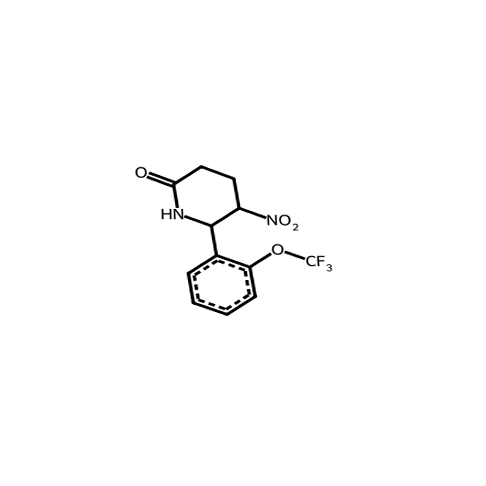 O=C1CCC([N+](=O)[O-])C(c2ccccc2OC(F)(F)F)N1